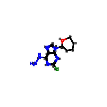 NNc1nc(Cl)nc2c1ncn2C1CCCCO1